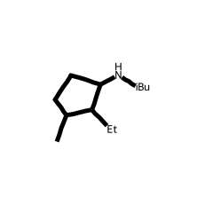 CCC(C)NC1CCC(C)C1CC